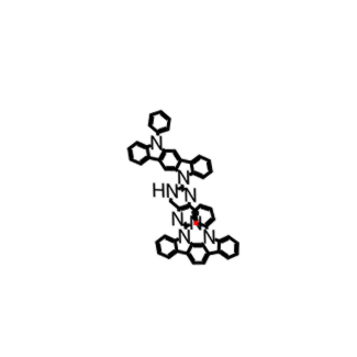 c1ccc(-n2c3ccccc3c3cc4c(cc32)c2ccccc2n4C2=Nc3cnc(-n4c5ccccc5c5ccc6c7ccccc7n(-c7ccccc7)c6c54)nc3CN2)cc1